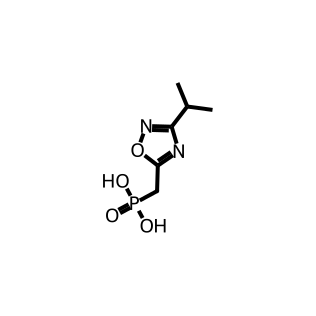 CC(C)c1noc(CP(=O)(O)O)n1